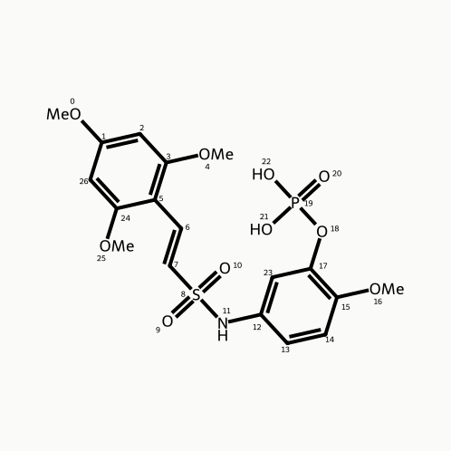 COc1cc(OC)c(C=CS(=O)(=O)Nc2ccc(OC)c(OP(=O)(O)O)c2)c(OC)c1